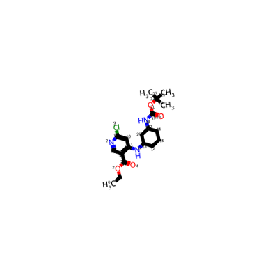 CCOC(=O)c1cnc(Cl)cc1NC1CCCC(NC(=O)OC(C)(C)C)C1